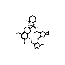 Cn1cc(COc2c(F)cc(Cl)c3c2[C@@H](CCN2CC4(CC4)CC2=O)N(C(=O)[C@@H]2CCCC[C@]2(C)C(=O)O)CC3)nn1